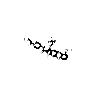 COc1ccccc1Nc1cc2c(OCC(F)(F)F)c(C(=O)NC3CCN(C(=O)CO)CC3)[nH]c2nc1C